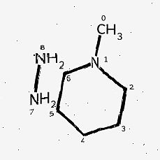 CN1CCCCC1.NN